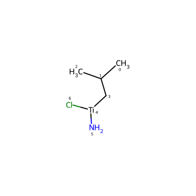 CC(C)[CH2][Ti]([NH2])[Cl]